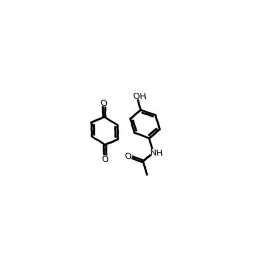 CC(=O)Nc1ccc(O)cc1.O=C1C=CC(=O)C=C1